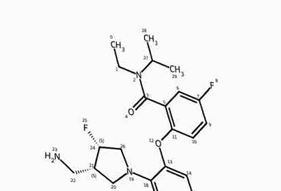 CCN(C(=O)c1cc(F)ccc1Oc1cncnc1N1C[C@H](CN)[C@H](F)C1)C(C)C